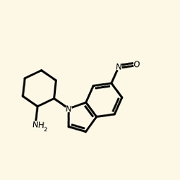 NC1CCCCC1n1ccc2ccc(N=O)cc21